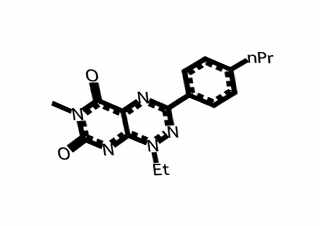 CCCc1ccc(-c2nc3c(=O)n(C)c(=O)nc-3n(CC)n2)cc1